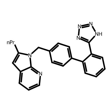 CCCc1cc2cccnc2n1Cc1ccc(-c2ccccc2-c2nnn[nH]2)cc1